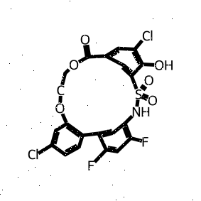 O=C1OCCOc2cc(Cl)ccc2-c2cc(c(F)cc2F)NS(=O)(=O)c2cc1cc(Cl)c2O